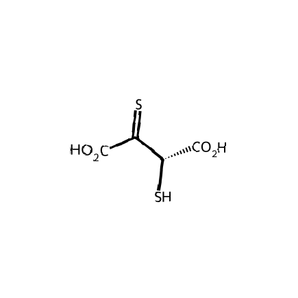 O=C(O)C(=S)[C@@H](S)C(=O)O